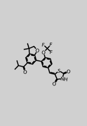 CC(C)C(=O)c1cc(-c2cc(/C=C3\SC(=O)NC3=O)ccc2OC(F)(F)F)c2c(c1)C(C)(C)CO2